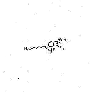 CCCCCCCOc1ccc(CP(=O)(OC)OC)cc1C(F)(F)F